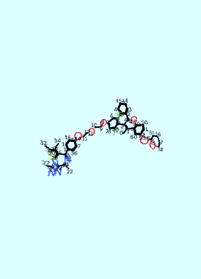 CC1=C(c2c(F)cc(OCCOCCOc3ccc(C4=N[C@@H](C)c5nnc(C)n5-c5sc(C)c(C)c54)cc3)cc2F)C(c2ccccc2)Oc2ccc(OC3CCCCO3)cc21